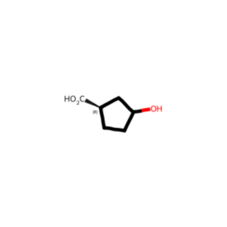 O=C(O)[C@@H]1CCC(O)C1